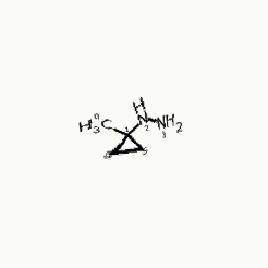 CC1(NN)CC1